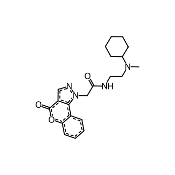 CN(CCNC(=O)Cn1ncc2c(=O)oc3ccccc3c21)C1CCCCC1